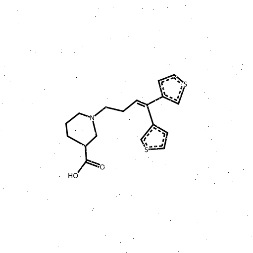 O=C(O)C1CCCN(CCC=C(c2ccsc2)c2ccsc2)C1